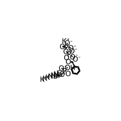 O=C([O-])c1ccccc1.O=P([O-])(O)O.O=P([O-])([O-])OP(=O)([O-])[O-].[F-].[K+].[K+].[K+].[K+].[Na+].[Na+].[Na+]